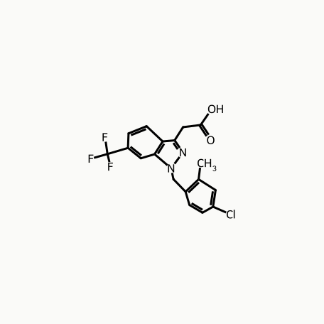 Cc1cc(Cl)ccc1Cn1nc(CC(=O)O)c2ccc(C(F)(F)F)cc21